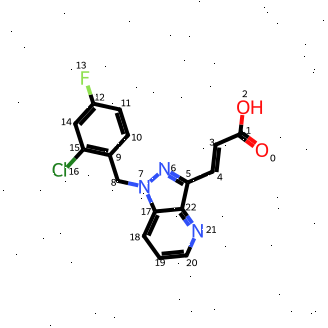 O=C(O)C=Cc1nn(Cc2ccc(F)cc2Cl)c2cccnc12